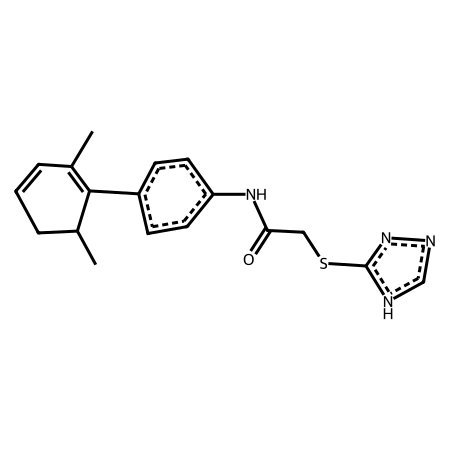 CC1=C(c2ccc(NC(=O)CSc3nnc[nH]3)cc2)C(C)CC=C1